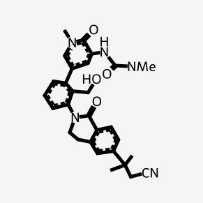 CNC(=O)Nc1cc(-c2cccc(N3CCc4cc(C(C)(C)CC#N)ccc4C3=O)c2CO)cn(C)c1=O